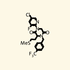 CSCCC1C(=O)N(c2ncc(Cl)cc2F)CC(=O)N1Cc1ccc(C(F)(F)F)cc1